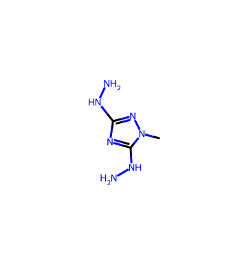 Cn1nc(NN)nc1NN